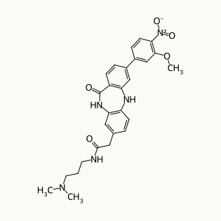 COc1cc(-c2ccc3c(c2)Nc2ccc(CC(=O)NCCCN(C)C)cc2NC3=O)ccc1[N+](=O)[O-]